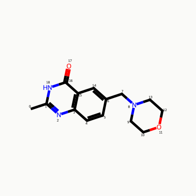 Cc1nc2ccc(CN3CCOCC3)cc2c(=O)[nH]1